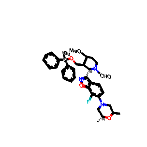 COC1CCN(C=O)[C@H](c2noc3c(F)c(N4CC(C)O[C@H](C)C4)ccc23)C1CO[Si](c1ccccc1)(c1ccccc1)C(C)(C)C